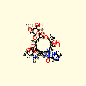 CC[C@H]1OC(=O)[C@H](C)[C@@H](O[C@H]2C[C@@](C)(OC)[C@@H](O)[C@H](C)O2)[C@H](C)[C@@H](O[C@@H]2O[C@H](C)C[C@H](N(C)C)[C@H]2OCCCNC(=O)c2cnc(C)cn2)[C@](C)(O)C[C@@H](C)CN(C)[C@H](C)[C@@H](O)[C@]1(C)O